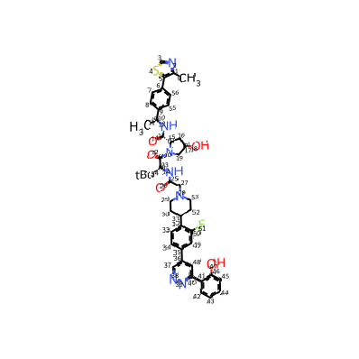 Cc1ncsc1-c1ccc([C@H](C)NC(=O)[C@@H]2C[C@@H](O)CN2C(=O)[C@@H](NC(=O)CN2CCC(c3ccc(-c4cnnc(-c5ccccc5O)c4)cc3F)CC2)C(C)(C)C)cc1